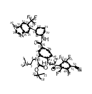 CN(C)CCN(C(=O)OC(C)(C)C)c1cc(C(=O)Nc2cccc(-c3cc4ncn(C)c4cc3C(F)(F)F)c2)ccc1NS(=O)(=O)c1c(F)c(F)c(C#N)c(F)c1F